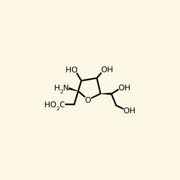 N[C@]1(CC(=O)O)O[C@H](C(O)CO)C(O)C1O